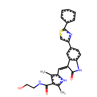 Cc1[nH]c(/C=C2\C(=O)Nc3ccc(-c4csc(-c5ccccc5)n4)cc32)c(C)c1C(=O)NCCO